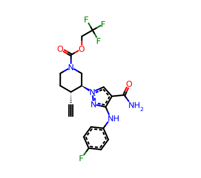 C#C[C@@H]1CCN(C(=O)OCC(F)(F)F)C[C@H]1n1cc(C(N)=O)c(Nc2ccc(F)cc2)n1